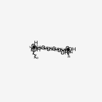 CCCCCCC(C)P(=O)(O)NCCCOCCOCCOCCOCC(O)COP(=O)(O)C(C)CC